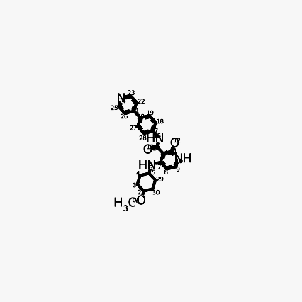 COC1CCC(Nc2cc[nH]c(=O)c2C(=O)Nc2ccc(-c3ccncc3)cc2)CC1